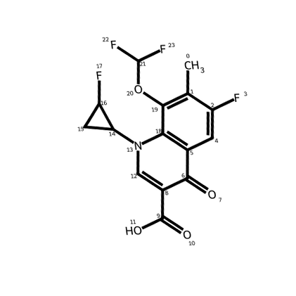 Cc1c(F)cc2c(=O)c(C(=O)O)cn(C3CC3F)c2c1OC(F)F